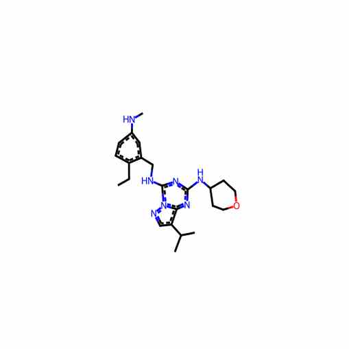 CCc1ccc(NC)cc1CNc1nc(NC2CCOCC2)nc2c(C(C)C)cnn12